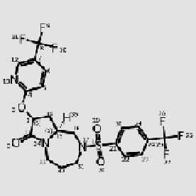 O=C1[C@@H](Oc2ccc(C(F)(F)F)cn2)C[C@H]2CN(S(=O)(=O)c3ccc(C(F)(F)F)cc3)CCCN12